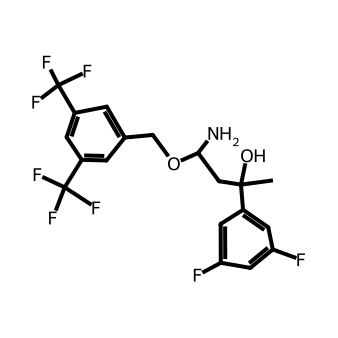 CC(O)(CC(N)OCc1cc(C(F)(F)F)cc(C(F)(F)F)c1)c1cc(F)cc(F)c1